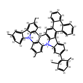 Cc1cc2c3c(c1)-n1c4cc(-c5c(C)cccc5C)ccc4c4c5c6ccccc6c6ccccc6c5cc(c41)B3c1cc(C)cc3c4cc(C)ccc4n-2c13